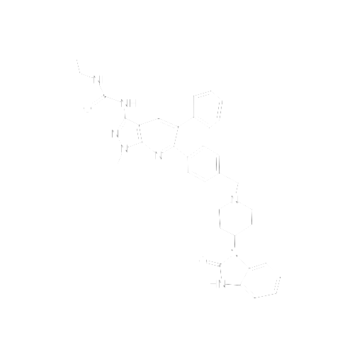 CCNC(=O)Nc1nn(C)c2nc(-c3ccc(CN4CCC(n5c(=O)[nH]c6ccccc65)CC4)cc3)c(-c3ccccc3)cc12